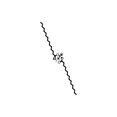 CCCCCCCCCCCCCCCC(=O)OP(N)(=O)OC(=O)CCCCCCCCCCCCCCC